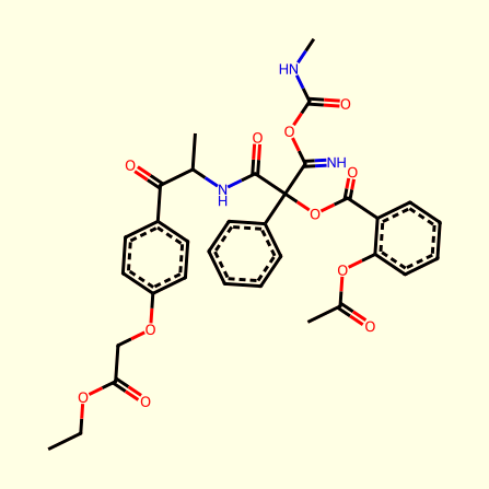 CCOC(=O)COc1ccc(C(=O)C(C)NC(=O)C(OC(=O)c2ccccc2OC(C)=O)(C(=N)OC(=O)NC)c2ccccc2)cc1